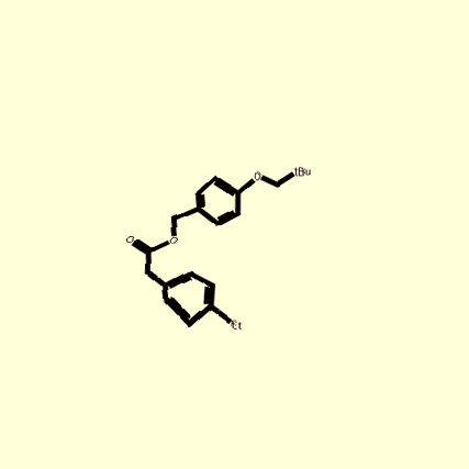 CCc1ccc(CC(=O)OCc2ccc(OCC(C)(C)C)cc2)cc1